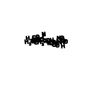 C[C@H](C(=O)Nc1cc(C#N)c2c(c1)CC(O)(CN1CCC3(CC1)CN(c1cnc4c(n1)NC(=O)CO4)C(=O)O3)C2)N(C)C